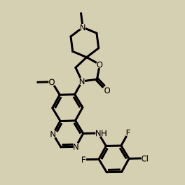 COc1cc2ncnc(Nc3c(F)ccc(Cl)c3F)c2cc1N1CC2(CCN(C)CC2)OC1=O